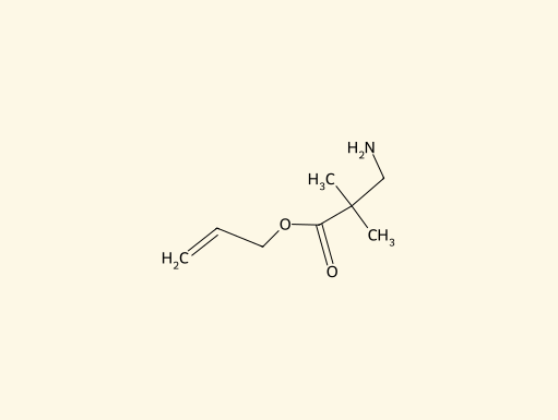 C=CCOC(=O)C(C)(C)CN